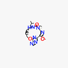 CCN1C(=O)NC(CC(C)C)CCCCCOc2nc(cn3ccnc23)-c2cc(ncc2OC)[C@H]1C